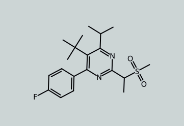 CC(C)c1nc(C(C)S(C)(=O)=O)nc(-c2ccc(F)cc2)c1C(C)(C)C